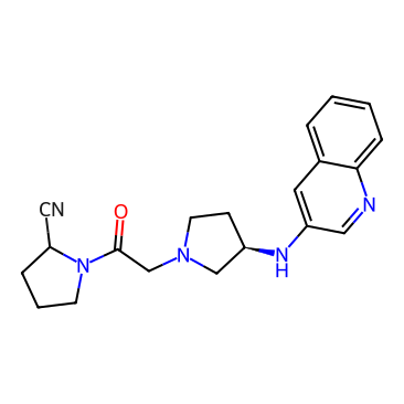 N#CC1CCCN1C(=O)CN1CC[C@@H](Nc2cnc3ccccc3c2)C1